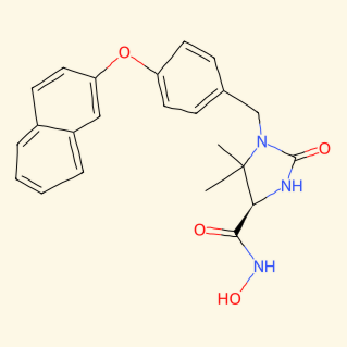 CC1(C)[C@H](C(=O)NO)NC(=O)N1Cc1ccc(Oc2ccc3ccccc3c2)cc1